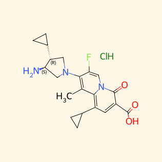 Cc1c(N2C[C@@H](N)[C@H](C3CC3)C2)c(F)cn2c(=O)c(C(=O)O)cc(C3CC3)c12.Cl